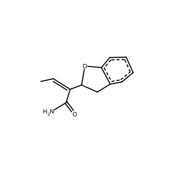 C/C=C(\C(N)=O)C1Cc2ccccc2O1